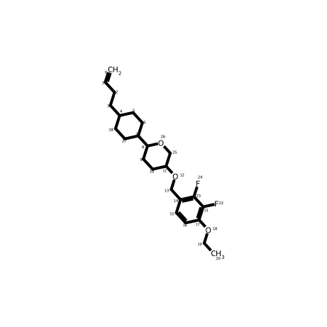 C=CCCC1CCC(C2CCC(OCc3ccc(OCC)c(F)c3F)CO2)CC1